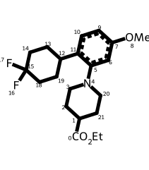 CCOC(=O)C1CCN(c2cc(OC)ccc2C2CCC(F)(F)CC2)CC1